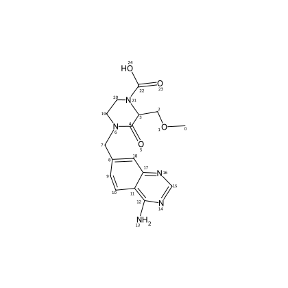 COCC1C(=O)N(Cc2ccc3c(N)ncnc3c2)CCN1C(=O)O